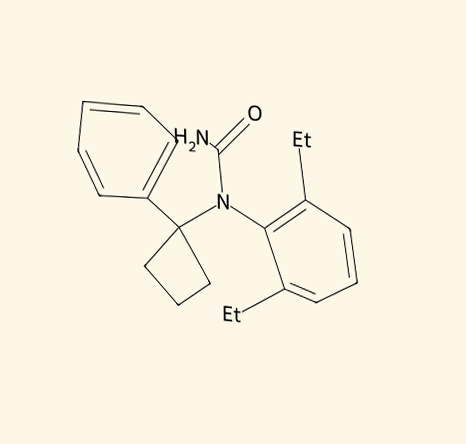 CCc1cccc(CC)c1N(C(N)=O)C1(c2ccccc2)CCC1